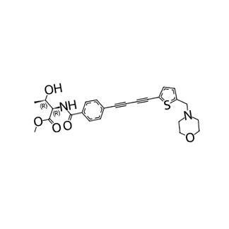 COC(=O)[C@H](NC(=O)c1ccc(C#CC#Cc2ccc(CN3CCOCC3)s2)cc1)[C@@H](C)O